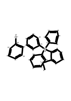 COc1ccccc1[P+](c1ccccc1)(c1ccccc1)c1ccccc1.[O-]c1ccccc1